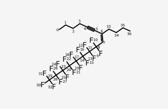 CCCCC#CC(=CC(F)(F)C(F)(F)C(F)(F)C(F)(F)C(F)(F)C(F)(F)C(F)(F)C(F)(F)F)CCCC